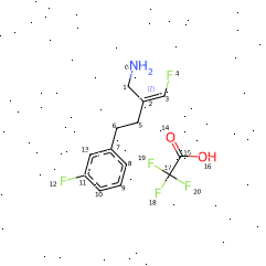 NC/C(=C\F)CCc1cccc(F)c1.O=C(O)C(F)(F)F